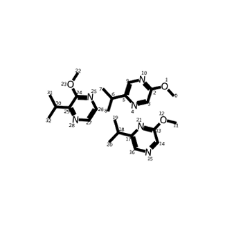 COc1cnc(C(C)C)cn1.COc1cncc(C(C)C)n1.COc1nccnc1C(C)C